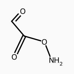 NOC(=O)C=O